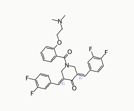 CN(C)CCOc1ccccc1C(=O)N1C/C(=C\c2ccc(F)c(F)c2)C(=O)/C(=C/c2ccc(F)c(F)c2)C1